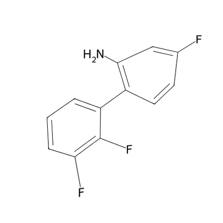 Nc1cc(F)ccc1-c1cccc(F)c1F